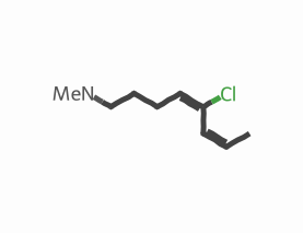 C/C=C\C(Cl)=C/CCCNC